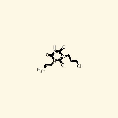 C=CCn1c(=O)[nH]c(=O)n(CC=CCl)c1=O